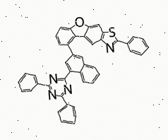 c1ccc(-c2nc(-c3ccccc3)nc(-c3cc(-c4cccc5oc6cc7sc(-c8ccccc8)nc7cc6c45)cc4ccccc34)n2)cc1